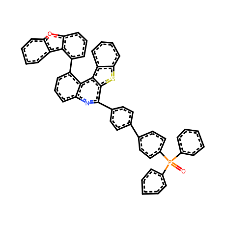 O=P(c1ccccc1)(c1ccccc1)c1ccc(-c2ccc(-c3nc4cccc(-c5cccc6oc7ccccc7c56)c4c4c3sc3ccccc34)cc2)cc1